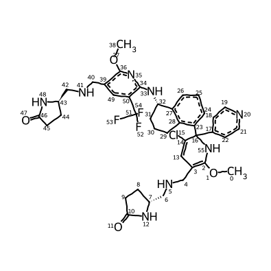 COC1=C(CNC[C@H]2CCC(=O)N2)C=C(Cl)C(c2ccncc2)(c2cccc3c2CCC[C@@H]3Nc2nc(OC)c(CNC[C@H]3CCC(=O)N3)cc2C(F)(F)F)N1